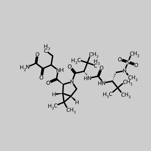 CCC(NC(=O)[C@@H]1[C@@H]2[C@H](CN1C(=O)[C@@H](NC(=O)N[C@H](CN(C)S(C)(=O)=O)C(C)(C)C)C(C)(C)C)C2(C)C)C(=O)C(N)=O